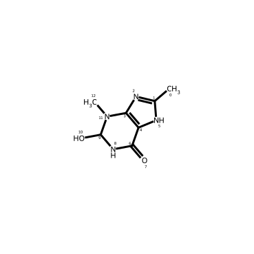 Cc1nc2c([nH]1)C(=O)NC(O)N2C